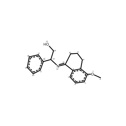 COc1cccc2c1CCCC2=NC(CO)c1ccccc1